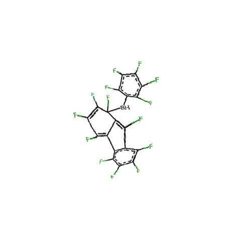 FC1=C2C(=C(F)c3c(F)c(F)c(F)c(F)c32)C(F)(Bc2c(F)c(F)c(F)c(F)c2F)C(F)=C1F